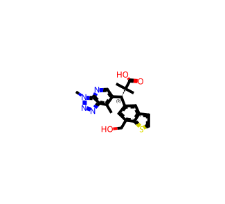 Cc1c([C@@H](c2cc(CO)c3sccc3c2)C(C)(C)C(=O)O)cnc2c1nnn2C